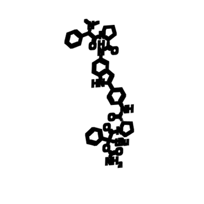 CN(C)[C@@H](C(=O)N1CCC[C@H]1C(=O)Nc1ccc2[nH]c(-c3ccc(NC(=O)[C@@H]4CCCN4C(=O)[C@](OC(N)=O)(c4ccccc4)C(C)(C)C)cc3)cc2c1)c1ccccc1